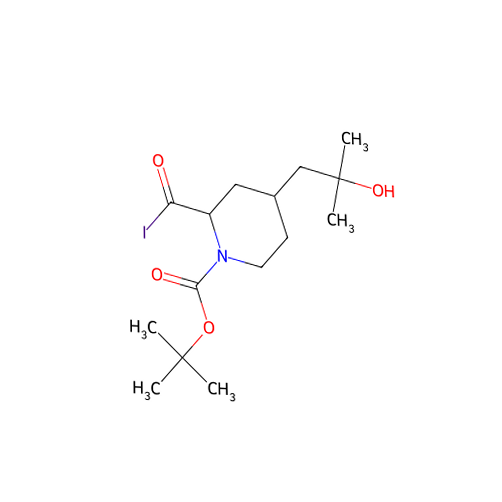 CC(C)(O)CC1CCN(C(=O)OC(C)(C)C)C(C(=O)I)C1